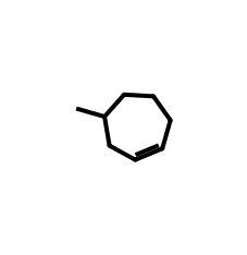 CC1CC=CCCC1